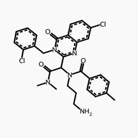 Cc1ccc(C(=O)N(CCCN)C(C(=O)N(C)C)c2nc3cc(Cl)ccc3c(=O)n2Cc2ccccc2Cl)cc1